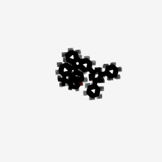 CC1(C)c2ccccc2-c2c1cccc2C1(c2ccccc2)c2ccccc2-c2ccc(-c3nc(-c4ccccc4)nc(-c4ccccc4)n3)cc21